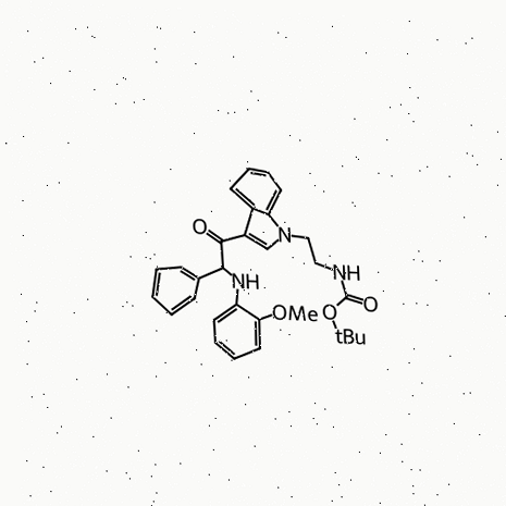 COc1ccccc1NC(C(=O)c1cn(CCNC(=O)OC(C)(C)C)c2ccccc12)c1ccccc1